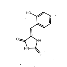 O=C1NC(=S)N/C1=C\c1ccccc1O